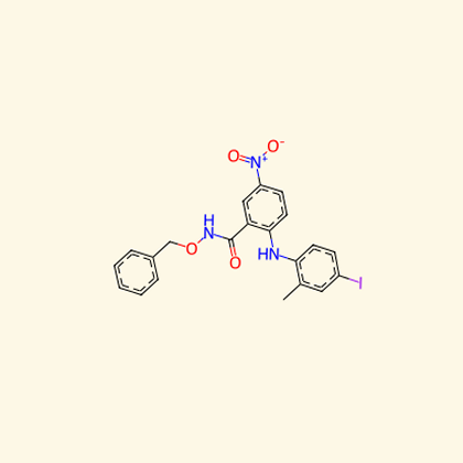 Cc1cc(I)ccc1Nc1ccc([N+](=O)[O-])cc1C(=O)NOCc1ccccc1